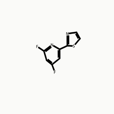 Fc1cc(F)nc(-c2nccs2)c1